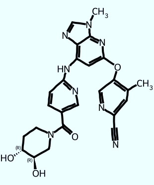 Cc1cc(C#N)ncc1Oc1cc(Nc2ccc(C(=O)N3CC[C@@H](O)[C@H](O)C3)cn2)c2ncn(C)c2n1